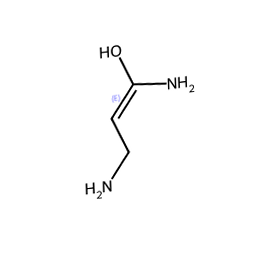 NC/C=C(\N)O